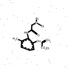 C=CC(=O)OCC.CCN(CC)CC(=O)Nc1c(C)cccc1C